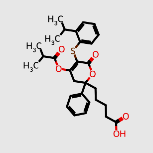 CC(C)C(=O)OC1=C(Sc2ccccc2C(C)C)C(=O)OC(CCCCC(=O)O)(c2ccccc2)C1